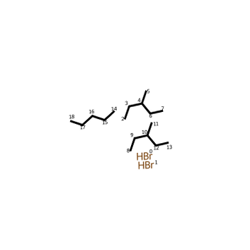 Br.Br.CCC(C)CC.CCC(C)CC.CCCCC